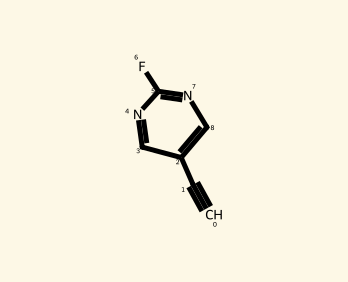 C#Cc1cnc(F)nc1